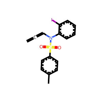 C=C=CN(c1ccccc1I)S(=O)(=O)c1ccc(C)cc1